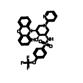 O=S(=O)(N[C@@H]1CN(c2ccccn2)C[C@H](N2c3ccccc3Oc3ccccc32)[C@H]1O)c1ccc(OC(F)(F)F)cc1